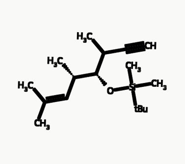 C#CC(C)[C@H](O[Si](C)(C)C(C)(C)C)[C@@H](C)C=C(C)C